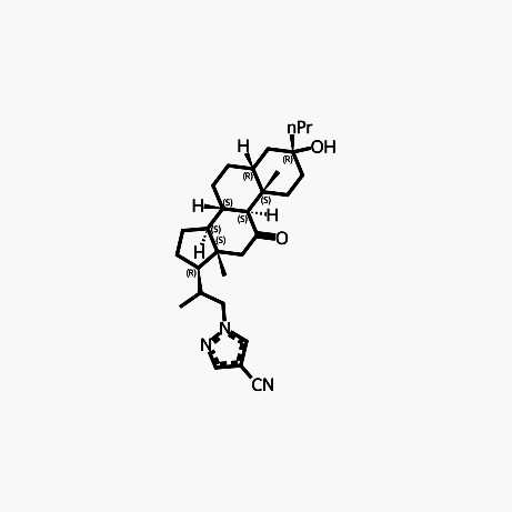 CCC[C@@]1(O)CC[C@@]2(C)[C@H](CC[C@H]3[C@@H]4CC[C@H](C(C)Cn5cc(C#N)cn5)[C@@]4(C)CC(=O)[C@@H]32)C1